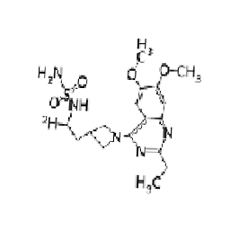 [2H]C(CC1CN(c2nc(CC)nc3cc(OC)c(OC)cc23)C1)NS(N)(=O)=O